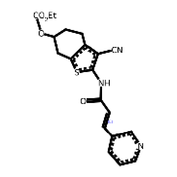 CCOC(=O)OC1CCc2c(sc(NC(=O)/C=C/c3cccnc3)c2C#N)C1